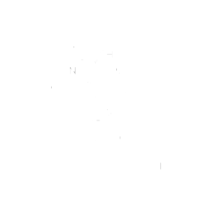 C=C(C(=O)N1CCOCC1)c1ccc(Sc2ccccc2OCCCC)c(Cl)c1Cl